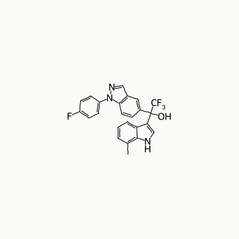 Cc1cccc2c(C(O)(c3ccc4c(cnn4-c4ccc(F)cc4)c3)C(F)(F)F)c[nH]c12